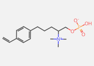 C=Cc1ccc(CCCC(COP(=O)([O-])O)[N+](C)(C)C)cc1